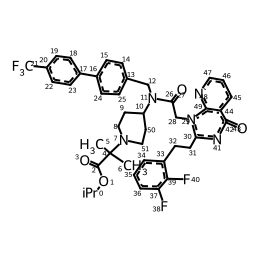 CC(C)OC(=O)C(C)(C)N1CCC(N(Cc2ccc(-c3ccc(C(F)(F)F)cc3)cc2)C(=O)Cn2c(CCc3cccc(F)c3F)nc(=O)c3cccnc32)CC1